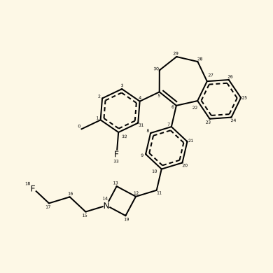 Cc1ccc(C2=C(c3ccc(CC4CN(CCCF)C4)cc3)c3ccccc3CCC2)cc1F